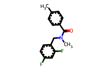 Cc1ccc(C(=O)N(C)Cc2ccc(F)cc2F)cc1